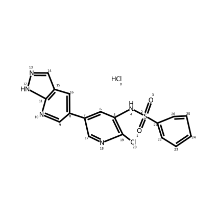 Cl.O=S(=O)(Nc1cc(-c2cnc3[nH]ncc3c2)cnc1Cl)c1ccccc1